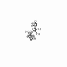 C#C[C@H]1[C@@H](O)[C@H](n2ccc(=O)[nH]c2=O)O[C@@H]1COP(=O)(O)OP(=O)(O)OP(=O)(O)O